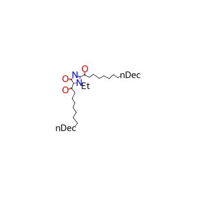 CCCCCCCCCCCCCCCCCC(=O)C1=NC(=O)C(C(=O)CCCCCCCCCCCCCCCCC)N1CC